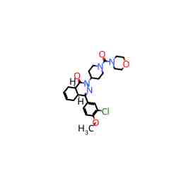 COc1ccc(C2=NN(C3CCN(C(=O)N4CCOCC4)CC3)C(=O)[C@@H]3CC=CC[C@H]23)cc1Cl